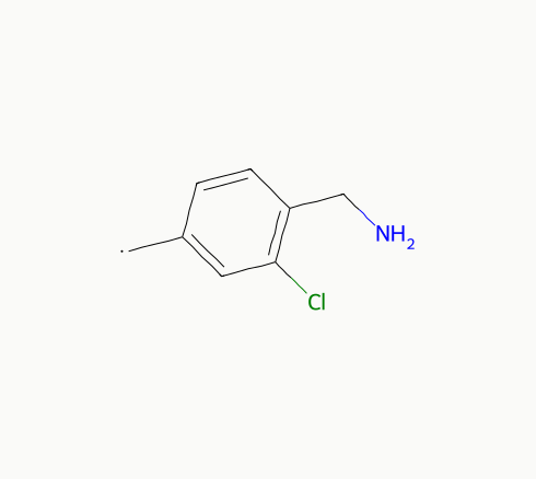 [CH2]c1ccc(CN)c(Cl)c1